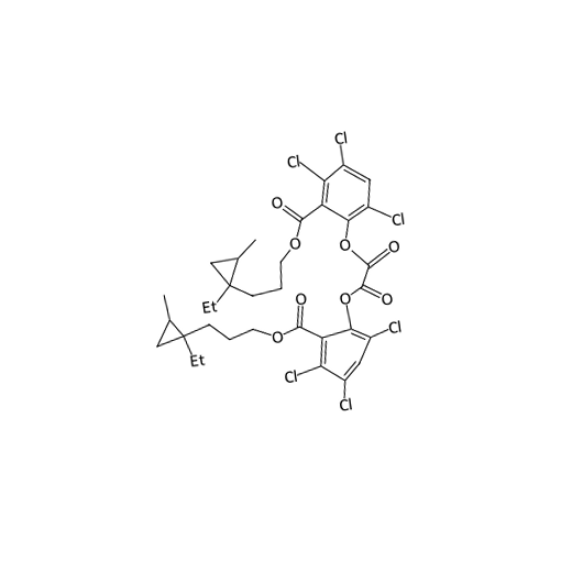 CCC1(CCCOC(=O)c2c(Cl)c(Cl)cc(Cl)c2OC(=O)C(=O)Oc2c(Cl)cc(Cl)c(Cl)c2C(=O)OCCCC2(CC)CC2C)CC1C